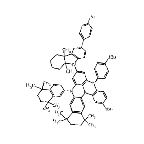 CC(C)(C)c1ccc(-c2ccc3c(c2)C2(C)CCCCC2(C)N3c2cc3c4c(c2)N(c2ccc5c(c2)C(C)(C)CCC5(C)C)c2cc5c(cc2B4c2cc(C(C)(C)C)ccc2N3c2ccc(C(C)(C)C)cc2)C(C)(C)CCC5(C)C)cc1